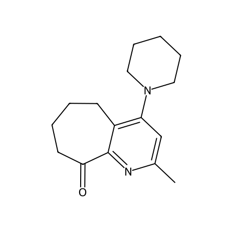 Cc1cc(N2CCCCC2)c2c(n1)C(=O)CCCC2